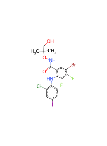 CC(C)(CO)ONC(=O)c1cc(Br)c(F)c(F)c1Nc1ccc(I)cc1Cl